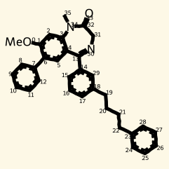 COc1cc2c(cc1-c1ccccc1)C(c1cccc(CCCCc3ccccc3)c1)=NCC(=O)N2C